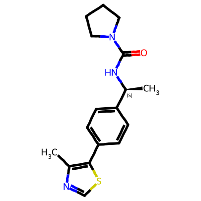 Cc1ncsc1-c1ccc([C@H](C)NC(=O)N2CCCC2)cc1